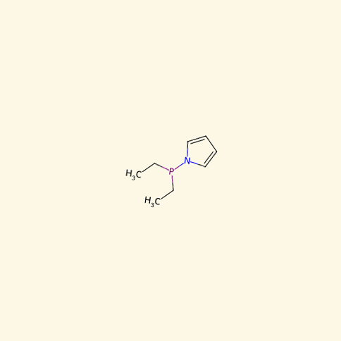 CCP(CC)n1cccc1